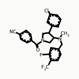 CN(Cc1ccc(C(F)(F)F)c(F)c1)C1CN(C(=O)c2ccc(C#N)cc2)CC1c1cccc(Cl)c1